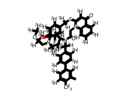 [2H]c1c([2H])c(F)c(F)c(C([2H])([2H])Sc2c([2H])c(=O)c3c([2H])c([2H])c([2H])c([2H])c3n2CC(=O)N(C([2H])([2H])c2c([2H])c([2H])c(-c3c([2H])c([2H])c(C(F)(F)F)c(C)c3[2H])c([2H])c2[2H])C2([2H])C([2H])([2H])C([2H])([2H])N(CC([2H])([2H])OC([2H])([2H])[2H])C([2H])([2H])C2([2H])[2H])c1[2H]